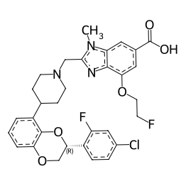 Cn1c(CN2CCC(c3cccc4c3O[C@H](c3ccc(Cl)cc3F)CO4)CC2)nc2c(OCCF)cc(C(=O)O)cc21